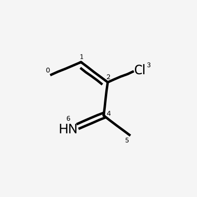 C/C=C(/Cl)C(C)=N